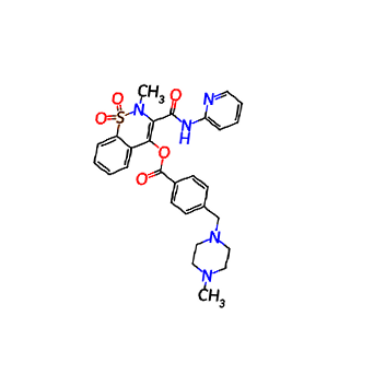 CN1CCN(Cc2ccc(C(=O)OC3=C(C(=O)Nc4ccccn4)N(C)S(=O)(=O)c4ccccc43)cc2)CC1